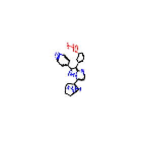 Oc1cccc(-c2c(-c3ccncc3)nn3c(C4CC5CCC(C4)N5)ccnc23)c1